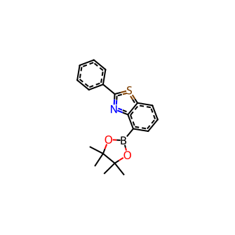 CC1(C)OB(c2cccc3sc(-c4ccccc4)nc23)OC1(C)C